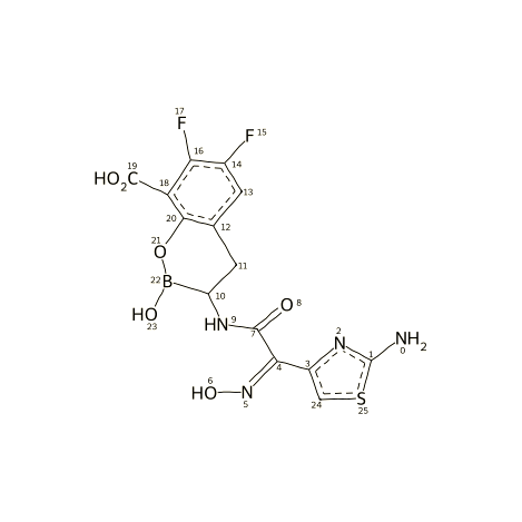 Nc1nc(C(=NO)C(=O)NC2Cc3cc(F)c(F)c(C(=O)O)c3OB2O)cs1